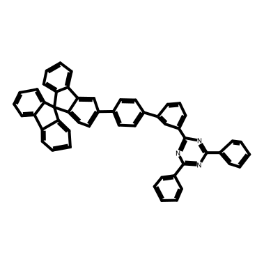 c1ccc(-c2nc(-c3ccccc3)nc(-c3cccc(-c4ccc(-c5ccc6c(c5)-c5ccccc5C65c6ccccc6-c6ccccc65)cc4)c3)n2)cc1